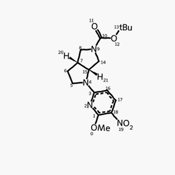 COc1nc(N2CC[C@@H]3CN(C(=O)OC(C)(C)C)C[C@@H]32)ccc1[N+](=O)[O-]